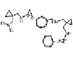 CCN(CC)CC1(CN[C@H]2C[C@@H]2c2cccc(CNCC3(CN[C@H]4C[C@@H]4c4ccccc4)CC3)c2)CC1